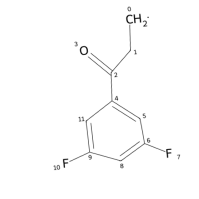 [CH2]CC(=O)c1cc(F)cc(F)c1